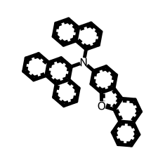 c1ccc2c(N(c3ccc4c(c3)oc3c5ccccc5ccc43)c3cc4ccccc4c4ccccc34)cccc2c1